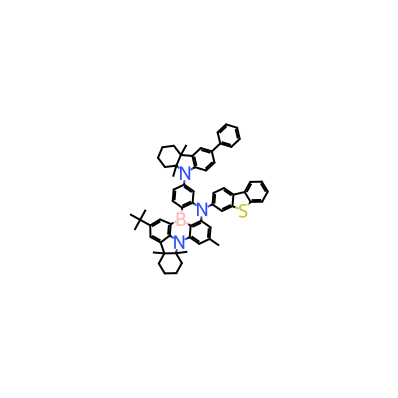 Cc1cc2c3c(c1)N1c4c(cc(C(C)(C)C)cc4C4(C)CCCCC14C)B3c1ccc(N3c4ccc(-c5ccccc5)cc4C4(C)CCCCC34C)cc1N2c1ccc2c(c1)sc1ccccc12